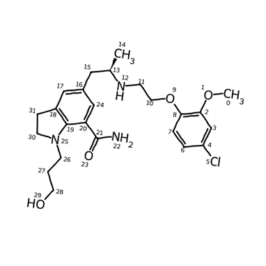 COc1cc(Cl)ccc1OCCN[C@H](C)Cc1cc2c(c(C(N)=O)c1)N(CCCO)CC2